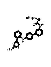 CCCCCCCNC(=O)N(C)c1cccc(-c2ccc(Nc3ccccc3-c3nnc(CCC)o3)cc2)c1